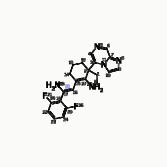 CCC1(c2cncc3nccn23)CCCC(/C=C(\N)c2c(F)cccc2F)=C1N